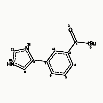 CC(C)(C)C(=O)c1cccc(-c2c[nH]cn2)c1